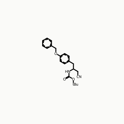 CC(C)(C)OC(=O)NC(CC#N)Cc1ccc(OCc2ccccc2)cc1